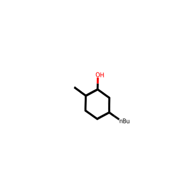 CCCCC1CCC(C)C(O)C1